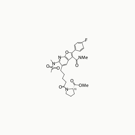 CNC(=O)c1c(-c2ccc(F)cc2)oc2nc(N(C)S(C)(=O)=O)c(CCCCC(=O)N3CCC[C@H]3C(=O)OC)cc12